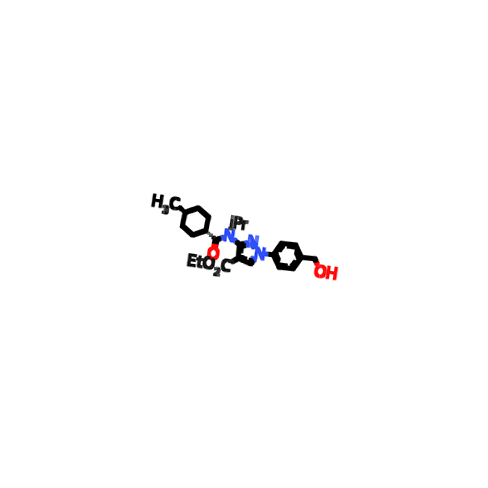 CCOC(=O)c1cn(-c2ccc(CO)cc2)nc1N(C(=O)[C@H]1CC[C@H](C)CC1)C(C)C